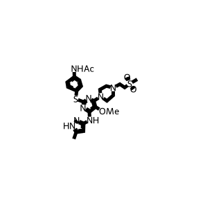 COc1c(Nc2cc(C)[nH]n2)nc(Sc2ccc(NC(C)=O)cc2)nc1N1CCN(CCS(C)(=O)=O)CC1